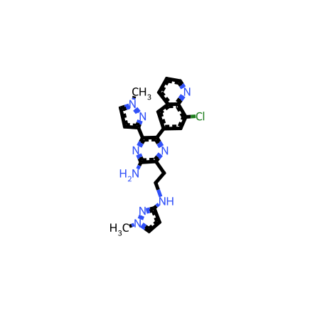 Cn1ccc(NCCc2nc(-c3cc(Cl)c4ncccc4c3)c(-c3ccn(C)n3)nc2N)n1